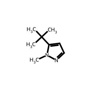 Cn1nccc1C(C)(C)C